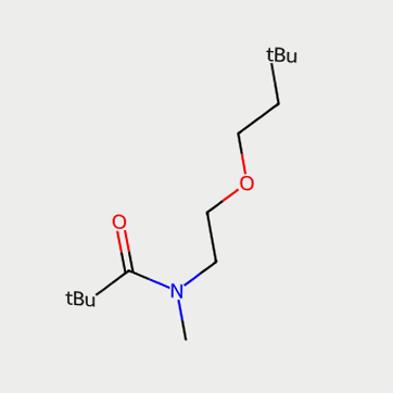 CN(CCOCCC(C)(C)C)C(=O)C(C)(C)C